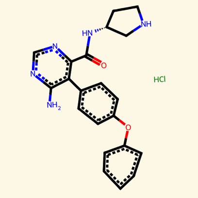 Cl.Nc1ncnc(C(=O)N[C@@H]2CCNC2)c1-c1ccc(Oc2ccccc2)cc1